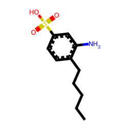 CCCCCc1ccc(S(=O)(=O)O)cc1N